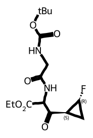 CCOC(=O)C(NC(=O)CNC(=O)OC(C)(C)C)C(=O)[C@@H]1C[C@H]1F